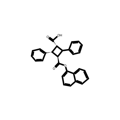 O=C(O)[C@@H]1C(c2ccccc2)[C@@H](C(=O)Oc2cccc3ccccc23)[C@@H]1c1ccccc1